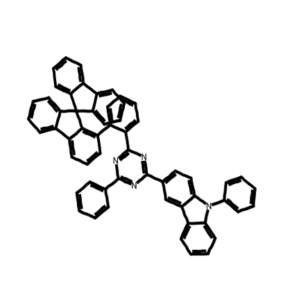 c1ccc(-c2nc(-c3ccc4c(c3)c3ccccc3n4-c3ccccc3)nc(-c3ccccc3-c3cccc4c3C3(c5ccccc5-c5ccccc53)c3ccccc3-4)n2)cc1